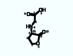 O=C(O)CN[C@@H]1CCOC1=O